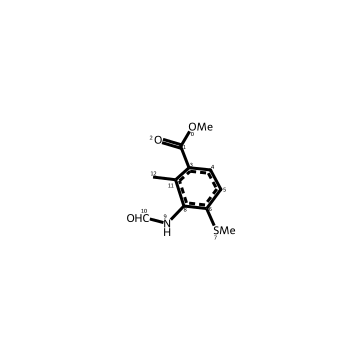 COC(=O)c1ccc(SC)c(NC=O)c1C